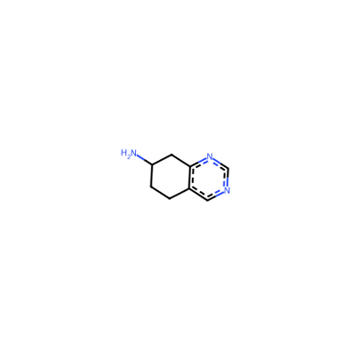 NC1CCc2cncnc2C1